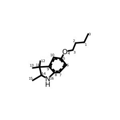 CCCCOc1ccc2c(c1)C(C)(C)C(C)N2